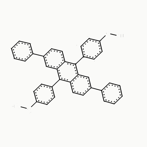 COc1ccc(-c2c3ccc(-c4ccccc4)cc3c(-c3ccc(OC)cc3)c3ccc(-c4ccccc4)cc23)cc1